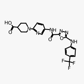 O=C(Nc1ccc(N2CCC(C(=O)O)CC2)nc1)c1nnc(Nc2ccc(C(F)(F)F)cc2)o1